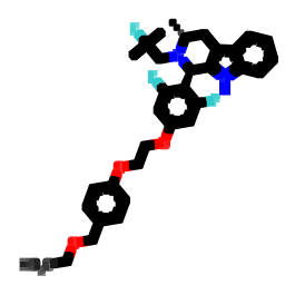 C[C@@H]1Cc2c([nH]c3ccccc23)[C@@H](c2c(F)cc(OCCOc3ccc(COCC(=O)O)cc3)cc2F)N1CC(C)(C)F